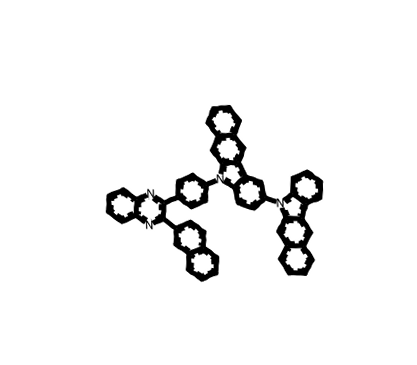 c1ccc2cc(-c3nc4ccccc4nc3-c3ccc(-n4c5ccc(-n6c7ccccc7c7cc8ccccc8cc76)cc5c5cc6ccccc6cc54)cc3)ccc2c1